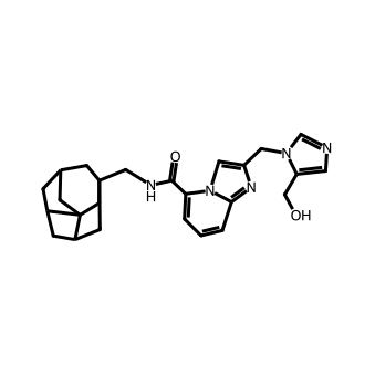 O=C(NCC12CC3CC4CC(C1)C4(C3)C2)c1cccc2nc(Cn3cncc3CO)cn12